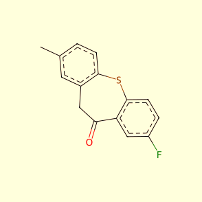 Cc1ccc2c(c1)CC(=O)c1cc(F)ccc1S2